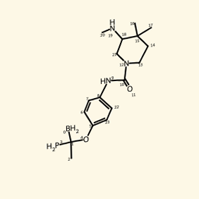 BC(C)(P)Oc1ccc(NC(=O)N2CCC(C)(C)C(NC)C2)cc1